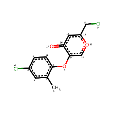 Cc1cc(Cl)ccc1Oc1coc(CCl)cc1=O